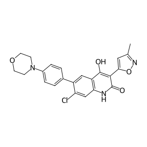 Cc1cc(-c2c(O)c3cc(-c4ccc(N5CCOCC5)cc4)c(Cl)cc3[nH]c2=O)on1